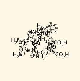 NC(=O)CN1CCN(CC(N)=O)CCN(CC(N)=O)C(Cc2ccc(NC(=S)N[C@@H](Cc3ccc4ccccc4c3)C(=O)NCCCCC(NC(=O)NC(CCC(=O)O)C(=O)O)C(=O)O)cc2)CN(CC(N)=O)CC1